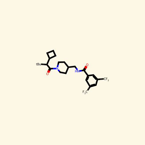 CC(C)(C)C(C(=O)N1CCC(CNC(=O)c2cc(C(F)(F)F)cc(C(F)(F)F)c2)CC1)C1CCC1